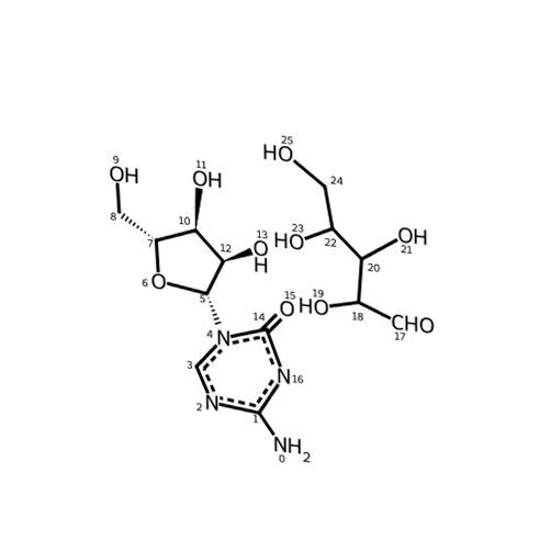 Nc1ncn([C@@H]2O[C@H](CO)[C@@H](O)[C@H]2O)c(=O)n1.O=CC(O)C(O)C(O)CO